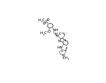 C/C=C\c1c(C#CCNc2ccc(S(C)(=O)=O)cc2OC)nc2c(N[C@@H]3CCN(C)C[C@@H]3F)cccn12